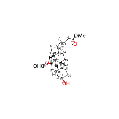 COC(=O)CC[C@@H](C)[C@H]1CC[C@H]2[C@@H]3[C@H](OC=O)C[C@@H]4C[C@H](O)CC[C@]4(C)[C@H]3CC[C@]12C